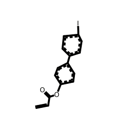 C=CC(=O)Oc1ccc(-c2ccc(I)cc2)cc1